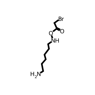 NCCCCCCNOC(=O)CBr